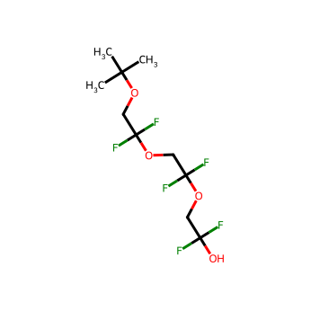 CC(C)(C)OCC(F)(F)OCC(F)(F)OCC(O)(F)F